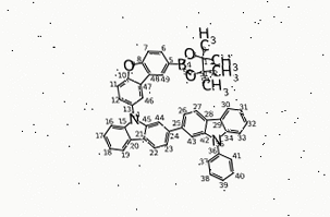 CC1(C)OB(c2ccc3oc4ccc(-n5c6ccccc6c6ccc(-c7ccc8c9ccccc9n(-c9ccccc9)c8c7)cc65)cc4c3c2)OC1(C)C